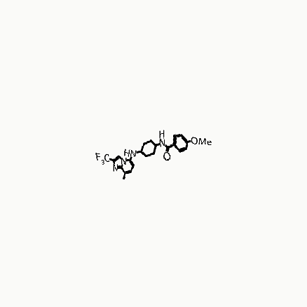 COc1ccc(C(=O)NC2CCC(Nc3ccc(C)c4nc(C(F)(F)F)cn34)CC2)cc1